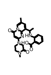 Cc1cc(C(C)Nc2ccccc2C(=O)O)c2nc(N3CCN(C)C(=O)C3)cc(=O)n2c1